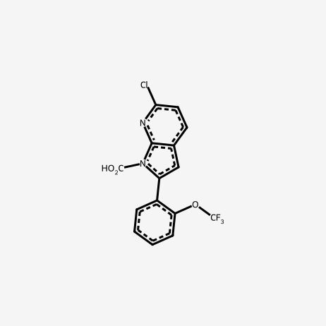 O=C(O)n1c(-c2ccccc2OC(F)(F)F)cc2ccc(Cl)nc21